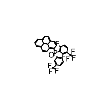 O=P(c1cc(C(F)(F)F)ccc1F)(c1cc(C(F)(F)F)ccc1F)c1ccc2ccc3cccc4ccc1c2c34